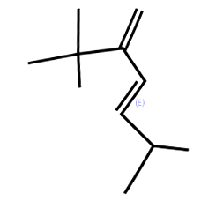 C=C(/C=C/C(C)C)C(C)(C)C